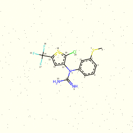 CSc1cccc(N(C(=N)N)c2cc(C(F)(F)F)sc2Cl)c1